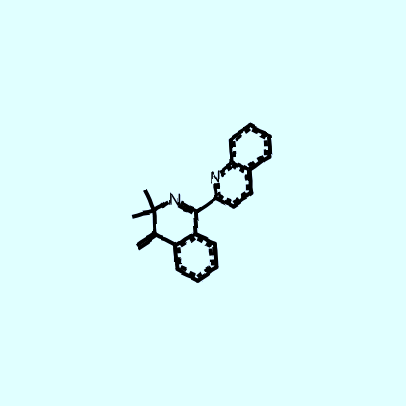 C=C1c2ccccc2C(c2ccc3ccccc3n2)=NC1(C)C